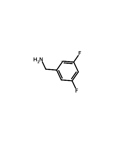 NCc1[c]c(F)cc(F)c1